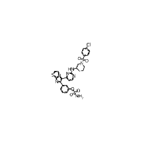 NS(=O)(=O)Oc1cccc(-c2nc3sccn3c2-c2ccnc(NC3CCCN(S(=O)(=O)c4ccc(Cl)cc4)C3)n2)c1